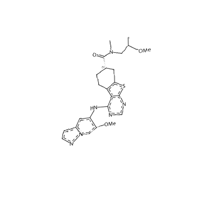 COc1cn2nccc2cc1Nc1ncnc2sc3c(c12)CC[C@H](C(=O)N(C)CC(C)OC)C3